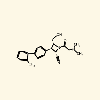 Cc1ccccc1-c1ccc([C@@H]2[C@@H](C#N)N(C(=O)CN(C)C)[C@H]2CO)cc1